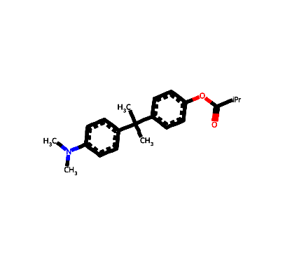 CC(C)C(=O)Oc1ccc(C(C)(C)c2ccc(N(C)C)cc2)cc1